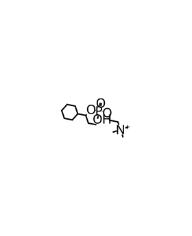 CCC(OP(=O)(O)OCC[N+](C)(C)C)C1CCCCC1